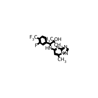 Cc1cc(NC(c2ccc(C(F)(F)F)c(F)c2)C(C)(C)O)nc2ncnn12